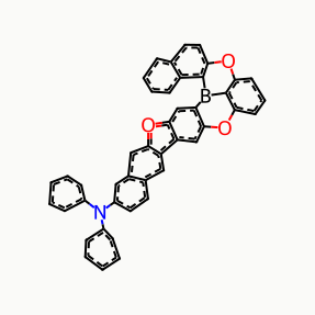 c1ccc(N(c2ccccc2)c2ccc3cc4c(cc3c2)oc2cc3c(cc24)Oc2cccc4c2B3c2c(ccc3ccccc23)O4)cc1